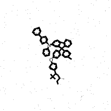 CC[C@@H](C)CC(c1ccc(Oc2ccc(C3(c4ccc(C)cc4)c4ccccc4-c4ccc(N(c5ccccc5)c5ccc(-c6ccccc6)cc5)cc43)cc2)cc1)C(C)(C)C